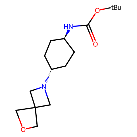 CC(C)(C)OC(=O)N[C@H]1CC[C@H](N2CC3(COC3)C2)CC1